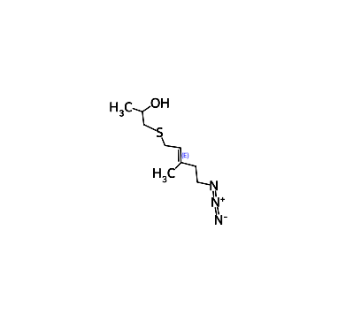 C/C(=C\CSCC(C)O)CCN=[N+]=[N-]